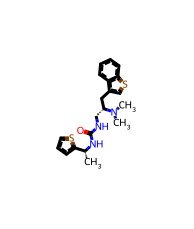 C[C@@H](NC(=O)NC[C@H](Cc1csc2ccccc12)N(C)C)c1cccs1